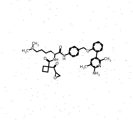 Cc1cc(-c2ccccc2OCc2ccc(NC(=O)[C@H](CCCCN(C)C)NC(=O)C3(C(=O)C4CO4)CCC3)cc2)c(C)nc1N